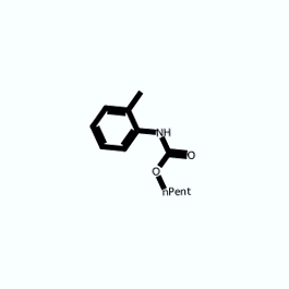 CCCCCOC(=O)Nc1ccccc1C